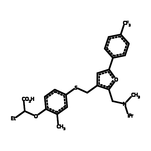 CCC(Oc1ccc(SCc2cc(-c3ccc(C(F)(F)F)cc3)oc2CN(C)C(C)C)cc1C)C(=O)O